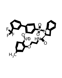 Cc1ccc([N+](=O)[O-])c(OCCNC(=O)[C@@H]2Cc3ccccc3N2S(=O)(=O)c2ccc(-c3cccc(C(F)(F)F)c3)cc2)c1